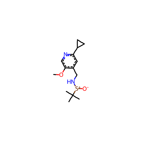 COc1cnc(C2CC2)cc1CN[S+]([O-])C(C)(C)C